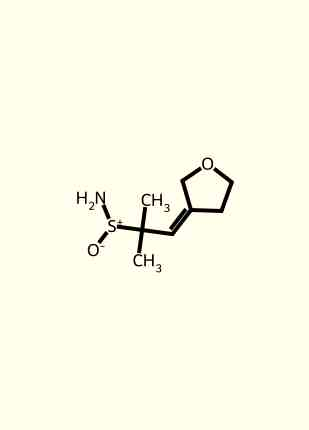 CC(C)(C=C1CCOC1)[S+](N)[O-]